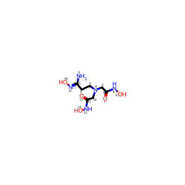 N/C(CCN(CC(=O)NO)CC(=O)NO)=N\O